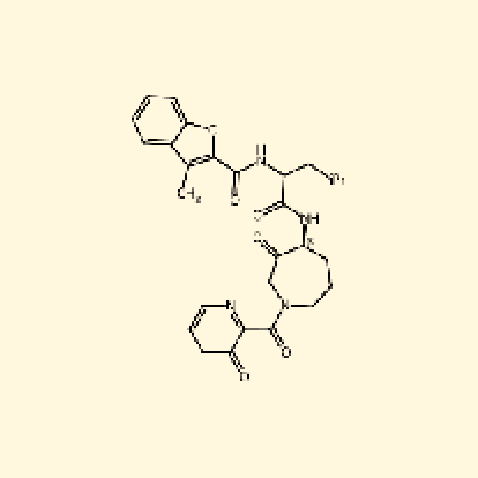 Cc1c(C(=O)NC(CC(C)C)C(=O)N[C@H]2CCCN(C(=O)C3=NC=CCC3=O)CC2=O)oc2ccccc12